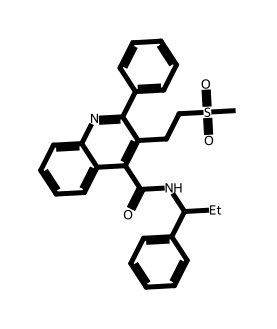 CCC(NC(=O)c1c(CCS(C)(=O)=O)c(-c2ccccc2)nc2ccccc12)c1ccccc1